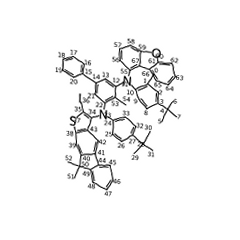 Cc1cc(C(C)(C)C)ccc1N(c1cc(-c2ccccc2)cc(N(c2ccc(C(C)(C)C)cc2)c2c(I)sc3cc4c(cc23)-c2ccccc2C4(C)C)c1C)c1cccc2oc3ccccc3c12